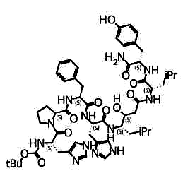 CC(C)C[C@H](NC(=O)C[C@H](O)[C@H](CC(C)C)NC(=O)[C@H](Cc1c[nH]cn1)NC(=O)[C@H](Cc1ccccc1)NC(=O)[C@@H]1CCCN1C(=O)[C@H](Cc1c[nH]cn1)NC(=O)OC(C)(C)C)C(=O)N[C@@H](Cc1ccc(O)cc1)C(N)=O